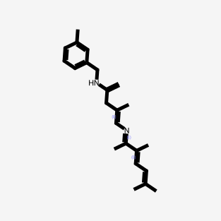 C=C(C/C(C)=C/N=C(C)/C(C)=C/C=C(C)C)NCc1cccc(C)c1